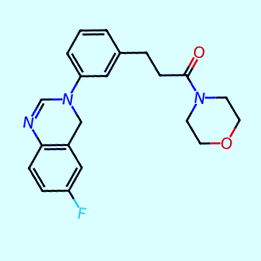 O=C(CCc1cccc(N2C=Nc3ccc(F)cc3C2)c1)N1CCOCC1